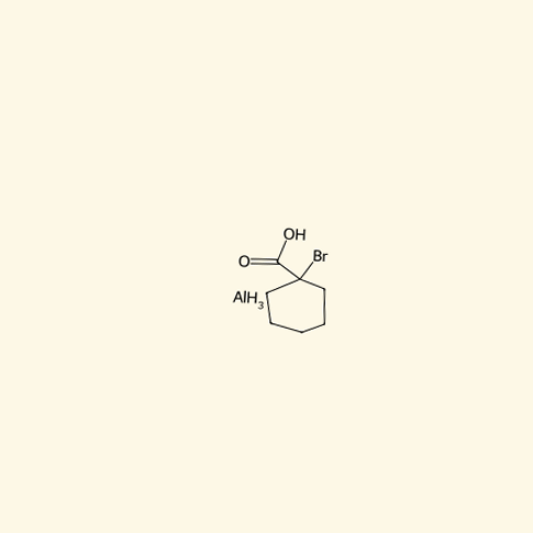 O=C(O)C1(Br)CCCCC1.[AlH3]